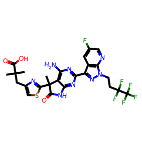 CC(C)(Cc1csc(C2(C)C(=O)Nc3nc(-c4nn(CCC(F)(F)C(F)(F)F)c5ncc(F)cc45)nc(N)c32)n1)C(=O)O